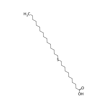 CCCCCCCCCCCCCCCCSCCCCCCCCCCC(=O)O